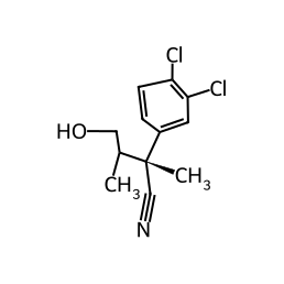 CC(CO)[C@@](C)(C#N)c1ccc(Cl)c(Cl)c1